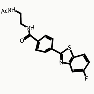 CC(=O)NCCNC(=O)c1ccc(-c2nc3cc(F)ccc3s2)cc1